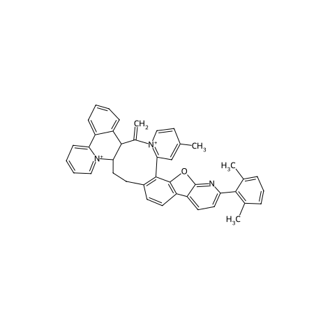 C=C1C2c3ccccc3-c3cccc[n+]3C2CCc2ccc3c(oc4nc(-c5c(C)cccc5C)ccc43)c2-c2cc(C)cc[n+]21